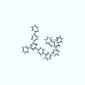 c1ccc(-c2ccc(-c3nc(-c4ccccc4)nc(-c4ccc(-c5cccc(-c6cccc(-c7nc8cccnc8c8c7sc7ccccc78)c6)c5)cc4)n3)cc2)cc1